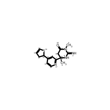 CN1C(=N)N[C@](C)(c2cc(C3CC=CS3)ccn2)CC1=O